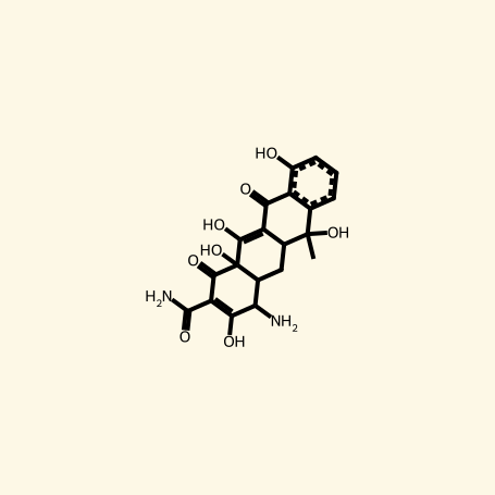 CC1(O)c2cccc(O)c2C(=O)C2=C(O)C3(O)C(=O)C(C(N)=O)=C(O)C(N)C3CC21